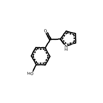 O=C(c1ccc(O)cc1)c1ccc[nH]1